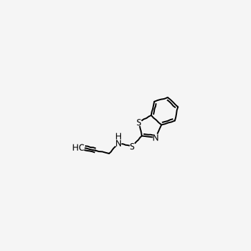 C#CCNSc1nc2ccccc2s1